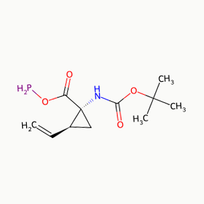 C=C[C@@H]1C[C@]1(NC(=O)OC(C)(C)C)C(=O)OP